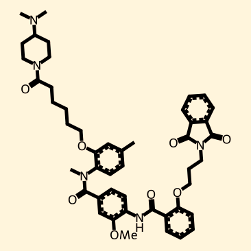 COc1cc(C(=O)N(C)c2ccc(C)cc2OCCCCCC(=O)N2CCC(N(C)C)CC2)ccc1NC(=O)c1ccccc1OCCCN1C(=O)c2ccccc2C1=O